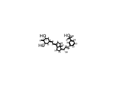 C=C1[C@H](O)CC(=C/C=C2\CCC3(C)C2CCC3[C@@H](C)CSc2cccc(C(C)(C)O)c2)C[C@H]1O